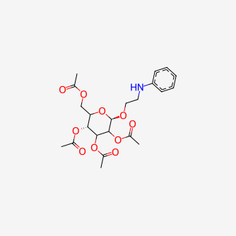 CC(=O)OCC1O[C@@H](OCCNc2ccccc2)C(OC(C)=O)C(OC(C)=O)[C@@H]1OC(C)=O